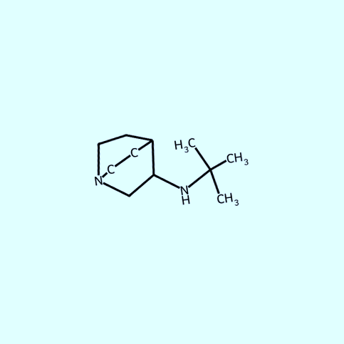 CC(C)(C)NC1CN2CCC1CC2